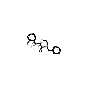 O=C1[C@@H]([C@H](O)c2ccccc2F)OCCN1Cc1ccccc1